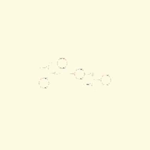 O=[N+]([O-])C(Nc1ccc(Oc2ccccc2NC(c2ccccc2)[N+](=O)[O-])cc1)c1ccccc1